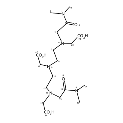 CN(C)C(=O)CN(CCN(CCN(CC(=O)O)CC(=O)N(C)C)CC(=O)O)CC(=O)O